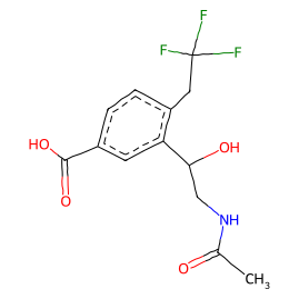 CC(=O)NCC(O)c1cc(C(=O)O)ccc1CC(F)(F)F